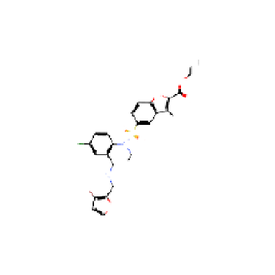 CCOC(=O)c1oc2ccc(S(=O)(=O)N(CC)c3ccc(Cl)cc3CNCc3occc3Br)cc2c1C